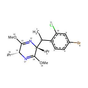 CCC[C@]1(C(C)c2ccc(Br)cc2Cl)N=C(OC)[C@@H](C(C)C)N=C1OC